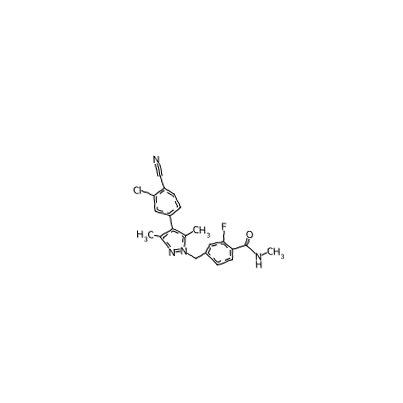 CNC(=O)c1ccc(Cn2nc(C)c(-c3ccc(C#N)c(Cl)c3)c2C)cc1F